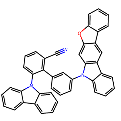 N#Cc1cccc(-n2c3ccccc3c3ccccc32)c1-c1cccc(-n2c3ccccc3c3cc4c(cc32)oc2ccccc24)c1